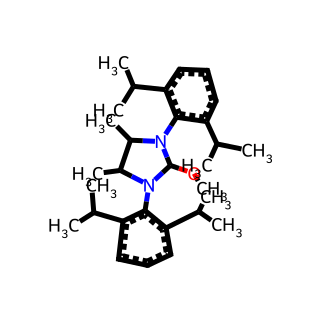 COC1N(c2c(C(C)C)cccc2C(C)C)C(C)C(C)N1c1c(C(C)C)cccc1C(C)C